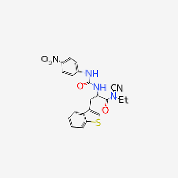 CCN(C#N)C(=O)C(Cc1csc2ccccc12)NC(=O)Nc1ccc([N+](=O)[O-])cc1